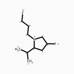 CC(C)C1CC(F)CN1CCCF